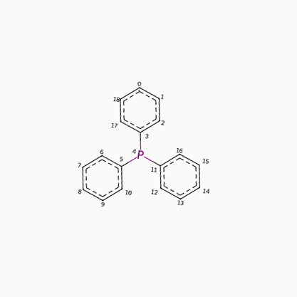 [c]1ccc(P(c2ccccc2)c2ccccc2)cc1